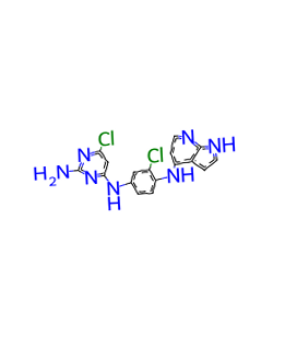 Nc1nc(Cl)cc(Nc2ccc(Nc3ccnc4[nH]ccc34)c(Cl)c2)n1